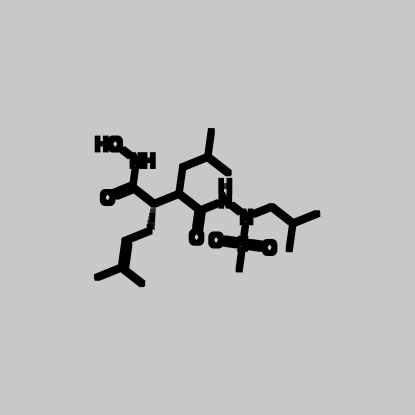 CC(C)=CC[C@H](C(=O)NO)C(CC(C)C)C(=O)NN(CC(C)C)S(C)(=O)=O